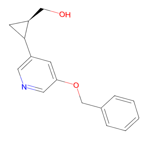 OC[C@@H]1CC1c1cncc(OCc2ccccc2)c1